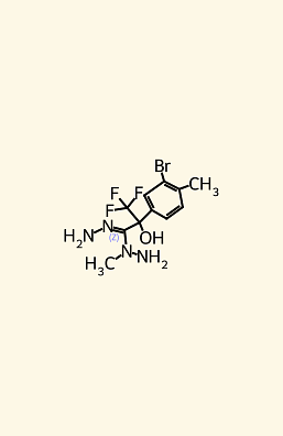 Cc1ccc(C(O)(/C(=N/N)N(C)N)C(F)(F)F)cc1Br